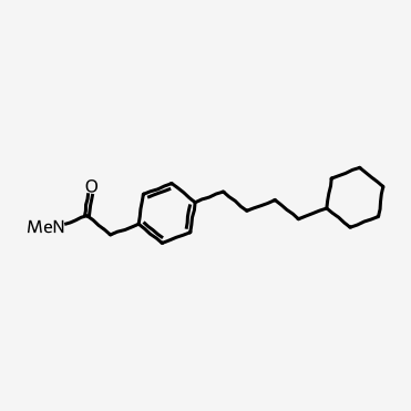 CNC(=O)Cc1ccc(CCCCC2CCCCC2)cc1